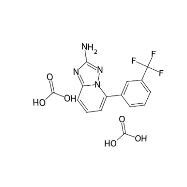 Nc1nc2cccc(-c3cccc(C(F)(F)F)c3)n2n1.O=C(O)O.O=C(O)O